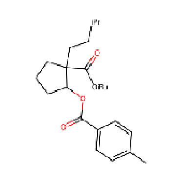 Cc1ccc(C(=O)OC2CCCC2(CCC(C)C)C(=O)OCC(C)C)cc1